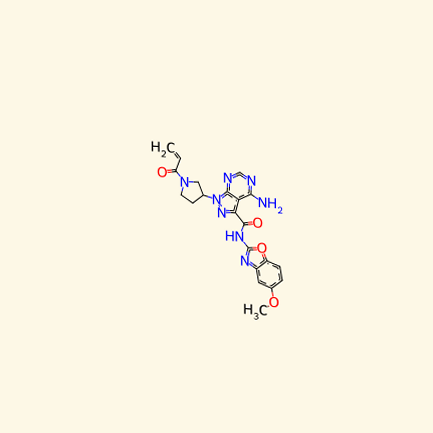 C=CC(=O)N1CCC(n2nc(C(=O)Nc3nc4cc(OC)ccc4o3)c3c(N)ncnc32)C1